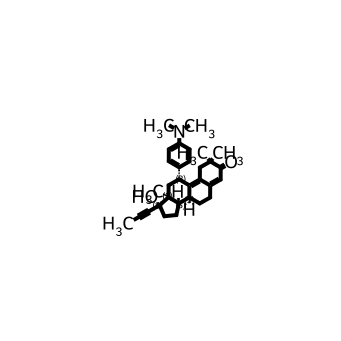 CC#C[C@]1(O)CC[C@H]2[C@@H]3CCC4=CC(=O)C(C)(C)CC4=C3[C@@H](c3ccc(N(C)C)cc3)C[C@@]21C